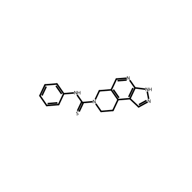 S=C(Nc1ccccc1)N1CCc2c(cnc3[nH]ncc23)C1